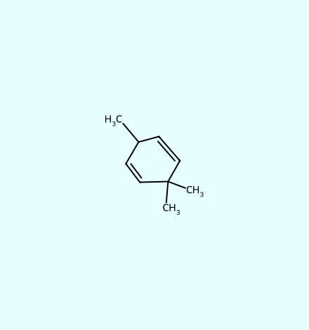 CC1C=CC(C)(C)C=C1